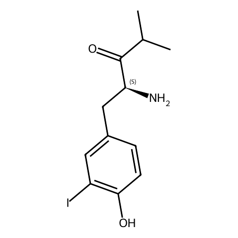 CC(C)C(=O)[C@@H](N)Cc1ccc(O)c(I)c1